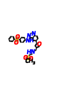 CS(=O)(=O)CCNCc1coc(-c2ccc3ncnc(Nc4ccc(S(=O)(=O)c5ccccc5)cc4)c3c2)c1